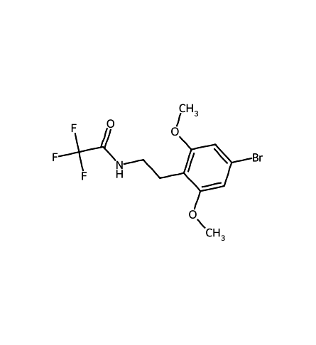 COc1cc(Br)cc(OC)c1CCNC(=O)C(F)(F)F